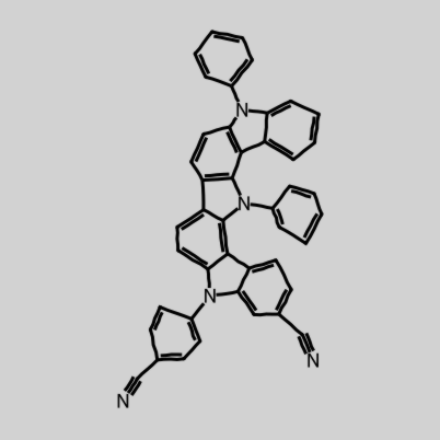 N#Cc1ccc(-n2c3cc(C#N)ccc3c3c2ccc2c4ccc5c(c6ccccc6n5-c5ccccc5)c4n(-c4ccccc4)c23)cc1